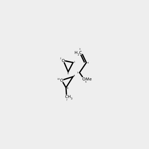 C1CO1.C=CCOC.CC1CO1